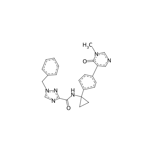 Cn1cncc(-c2ccc(C3(NC(=O)c4ncn(Cc5ccccc5)n4)CC3)cc2)c1=O